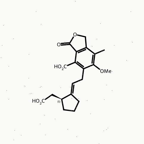 COc1c(C)c2c(c(C(=O)O)c1CC=C1CCC[C@H]1CC(=O)O)C(=O)OC2